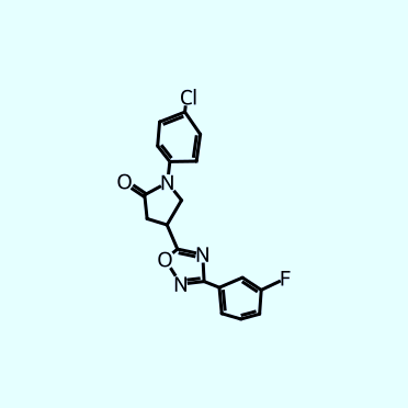 O=C1CC(c2nc(-c3cccc(F)c3)no2)CN1c1ccc(Cl)cc1